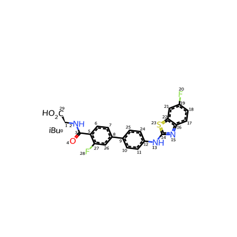 CC[C@H](C)[C@H](NC(=O)c1ccc(-c2ccc(Nc3nc4ccc(F)cc4s3)cc2)cc1F)C(=O)O